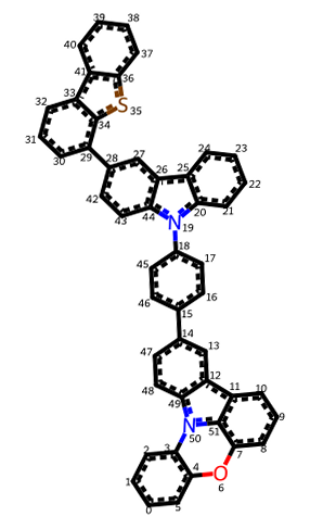 c1ccc2c(c1)Oc1cccc3c4cc(-c5ccc(-n6c7ccccc7c7cc(-c8cccc9c8sc8ccccc89)ccc76)cc5)ccc4n-2c13